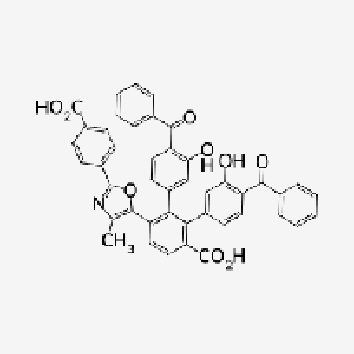 Cc1nc(-c2ccc(C(=O)O)cc2)oc1-c1ccc(C(=O)O)c(-c2ccc(C(=O)c3ccccc3)c(O)c2)c1-c1ccc(C(=O)c2ccccc2)c(O)c1